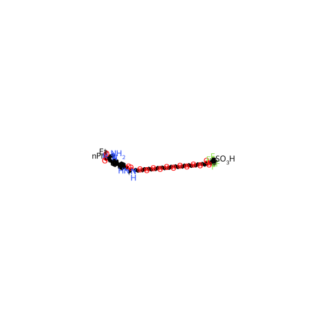 CCCN(OCC)C(=O)C1=Cc2ccc(-c3ccc(C(=O)N[C@@H](C)C(=O)NCCOCCOCCOCCOCCOCCOCCOCCOCCOCCOCCC(=O)Oc4c(F)c(F)c(S(=O)(=O)O)c(F)c4F)cc3)cc2N=C(N)C1